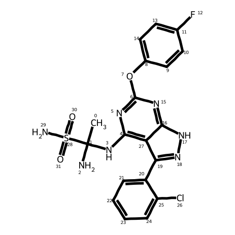 CC(N)(Nc1nc(Oc2ccc(F)cc2)nc2[nH]nc(-c3ccccc3Cl)c12)S(N)(=O)=O